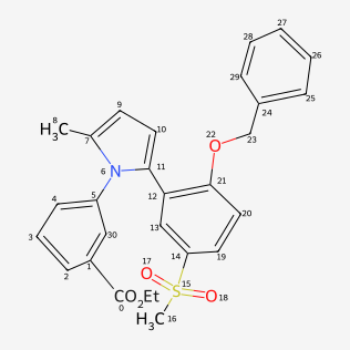 CCOC(=O)c1cccc(-n2c(C)ccc2-c2cc(S(C)(=O)=O)ccc2OCc2ccccc2)c1